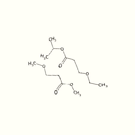 CCOCCC(=O)OC(C)C.COCCC(=O)OC